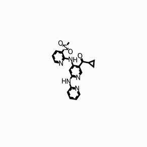 CS(=O)(=O)c1cccnc1Nc1cc(Nc2ccccn2)ncc1C(=O)C1CC1